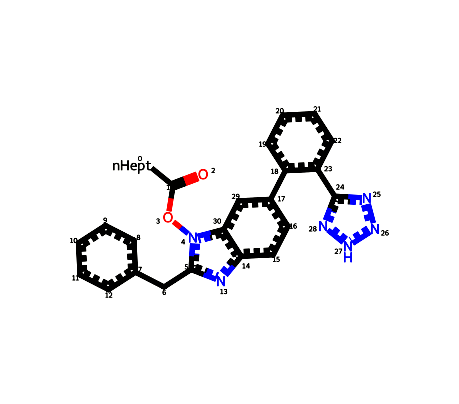 CCCCCCCC(=O)On1c(Cc2ccccc2)nc2ccc(-c3ccccc3-c3nn[nH]n3)cc21